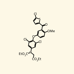 CCOC(=O)CN(C(=O)OCC)c1cc(Cl)c(Oc2ccc(OC)c(C(=O)c3ccc(Cl)s3)c2)c(Cl)c1